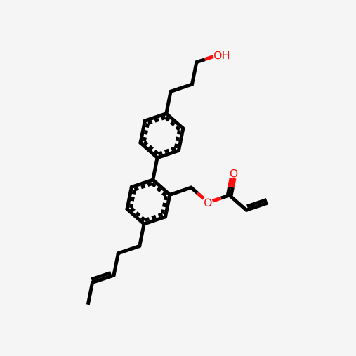 C=CC(=O)OCc1cc(CC/C=C/C)ccc1-c1ccc(CCCO)cc1